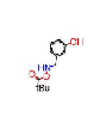 CC(C)(C)C(=O)ONCc1cccc(O)c1